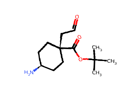 CC(C)(C)OC(=O)[C@]1(CC=O)CC[C@@H](N)CC1